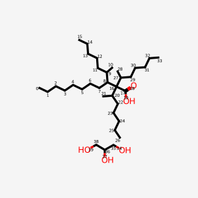 CCCCCCCCC(C(C)CCCCC)C(C(=O)O)(C(C)CCCCC)C(C)CCCCC.OCC(O)CO